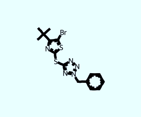 CC(C)(C)c1nc(Sc2nnn(Cc3ccccc3)n2)sc1Br